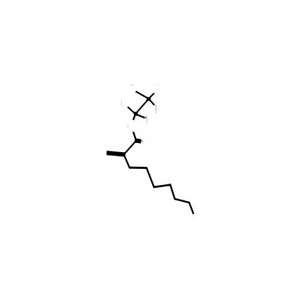 C=C(CCCCCCC)C(=O)OC(F)(F)C(F)(F)F